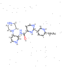 CC(=O)Nc1ccc(-c2nccc(C(=O)Nc3cnccc3N3CCNCC3)n2)cn1